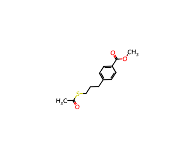 COC(=O)c1ccc(CCCSC(C)=O)cc1